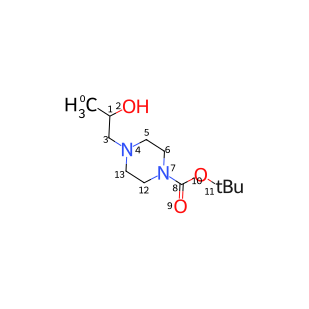 CC(O)CN1CCN(C(=O)OC(C)(C)C)CC1